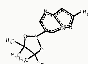 Cc1cc2ncc(B3OC(C)(C)C(C)(C)O3)cn2n1